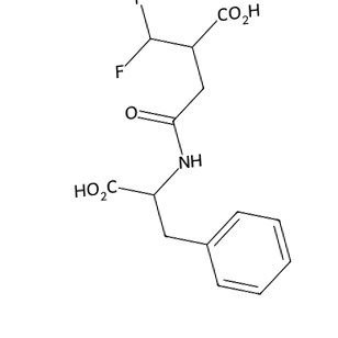 O=C(CC(C(=O)O)C(F)F)NC(Cc1ccccc1)C(=O)O